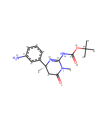 CN1C(=O)C[C@@](C)(c2cccc(N)c2)N=C1NC(=O)OC(C)(C)C